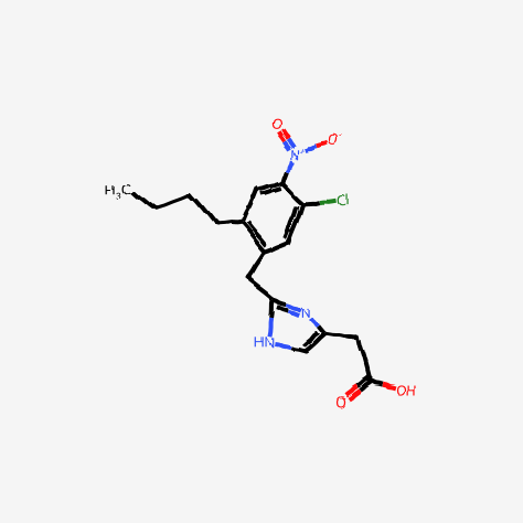 CCCCc1cc([N+](=O)[O-])c(Cl)cc1Cc1nc(CC(=O)O)c[nH]1